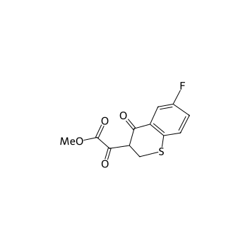 COC(=O)C(=O)C1CSc2ccc(F)cc2C1=O